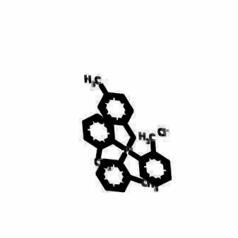 Cc1ccc(C[P+](c2ccccc2C)(c2ccccc2C)c2ccccc2C)cc1.[Cl-]